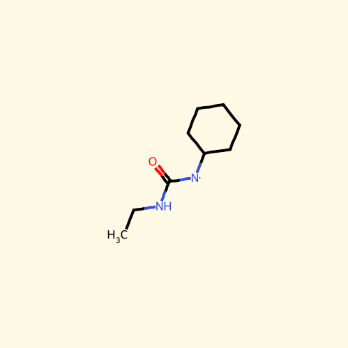 CCNC(=O)[N]C1CCCCC1